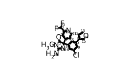 CN1C(=O)C(c2cc(Cl)cc(-c3ccoc3)c2)(c2ccnc(C(F)F)c2)N=C1N